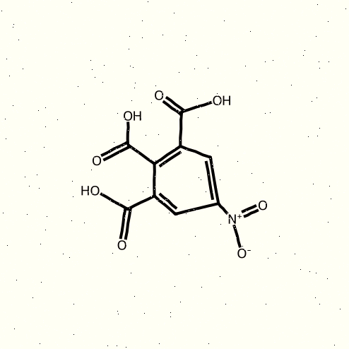 O=C(O)c1cc([N+](=O)[O-])cc(C(=O)O)c1C(=O)O